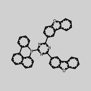 c1ccc2c(c1)-c1cccc3cccc(c13)N2c1nc(-c2ccc3oc4ccccc4c3c2)nc(-c2ccc3oc4ccccc4c3c2)n1